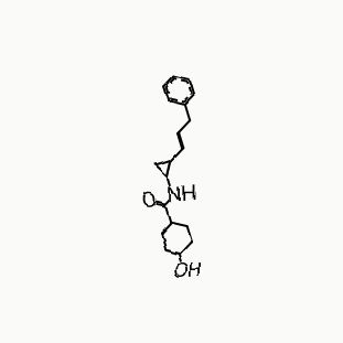 O=C(NC1CC1CCCc1ccccc1)C1CCC(O)CC1